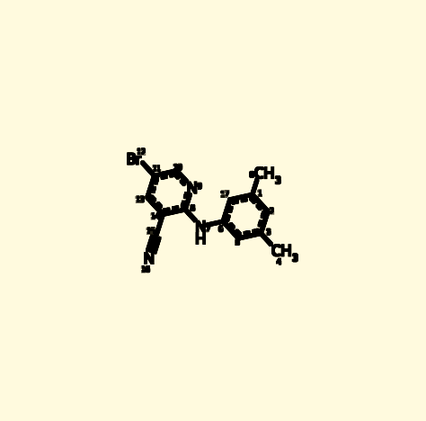 Cc1cc(C)cc(Nc2ncc(Br)cc2C#N)c1